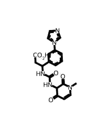 CN1C=CC(=O)C(NC(=O)NC(CC(=O)O)c2cccc(-n3ccnc3)c2)C1=O